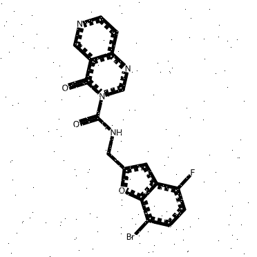 O=C(NCc1cc2c(F)ccc(Br)c2o1)n1cnc2ccncc2c1=O